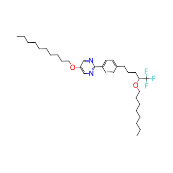 CCCCCCCCCCOc1cnc(-c2ccc(CCCC(OCCCCCCCC)C(F)(F)F)cc2)nc1